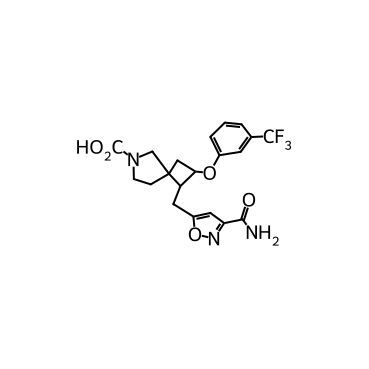 NC(=O)c1cc(CC2C(Oc3cccc(C(F)(F)F)c3)CC23CCN(C(=O)O)C3)on1